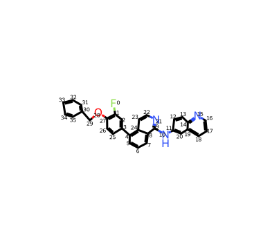 Fc1cc(-c2cccc3c(Nc4ccc5ncccc5c4)nccc23)ccc1OCc1ccccc1